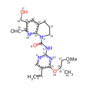 C=Cc1cnc(NC(=O)N2CCCc3cc(CO)c(C=O)nc32)nc1O[C@@H](C)COC